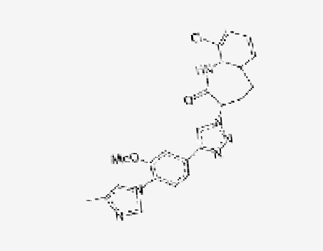 COc1cc(-c2cn(C3CCC4C=CC=C(Cl)C4NC3=O)nn2)ccc1-n1cnc(C)c1